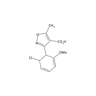 COC1=CC=CC(Cl)C1c1noc(C)c1C(=O)O